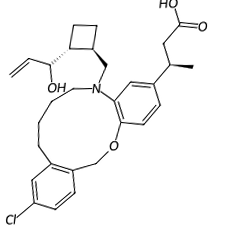 C=CC(O)[C@@H]1CC[C@H]1CN1CCCCc2cc(Cl)ccc2COc2ccc([C@H](C)CC(=O)O)cc21